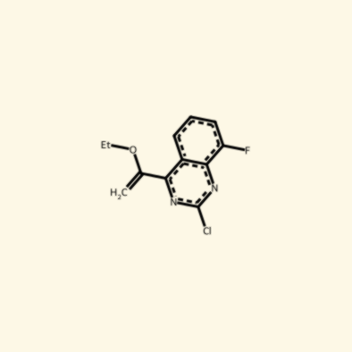 C=C(OCC)c1nc(Cl)nc2c(F)cccc12